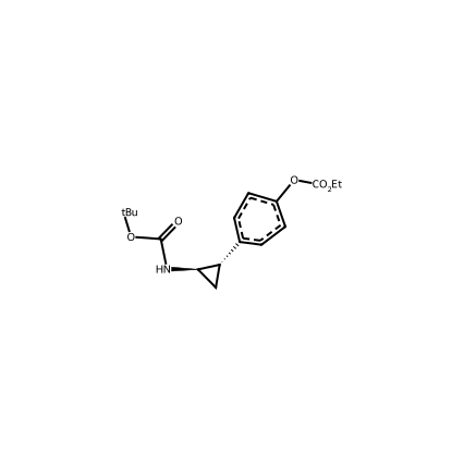 CCOC(=O)Oc1ccc([C@@H]2C[C@H]2NC(=O)OC(C)(C)C)cc1